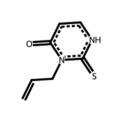 C=CCn1c(=O)cc[nH]c1=S